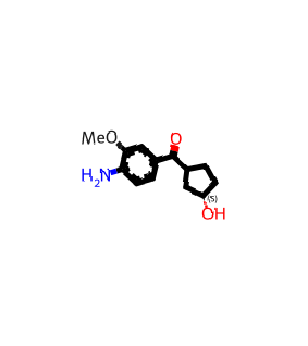 COc1cc(C(=O)C2CC[C@H](O)C2)ccc1N